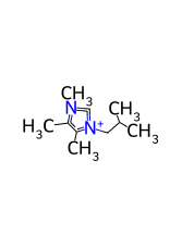 Cc1c(C)[n+](CC(C)C)cn1C